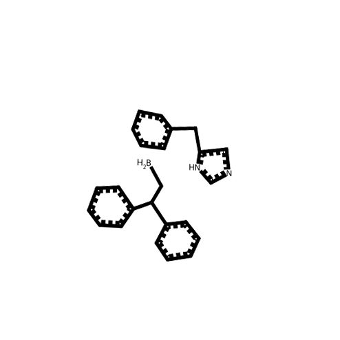 BCC(c1ccccc1)c1ccccc1.c1ccc(Cc2cnc[nH]2)cc1